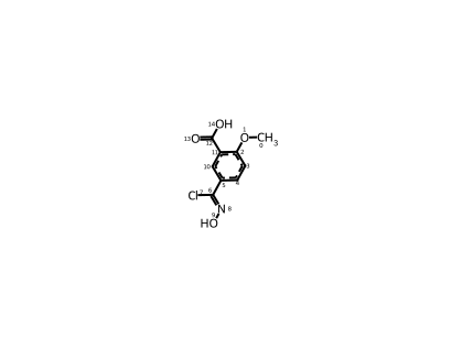 COc1ccc(/C(Cl)=N/O)cc1C(=O)O